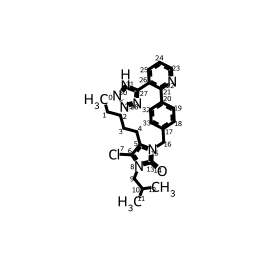 CCCCCc1c(Cl)n(CC(C)C)c(=O)n1Cc1ccc(-c2ncccc2-c2nnn[nH]2)cc1